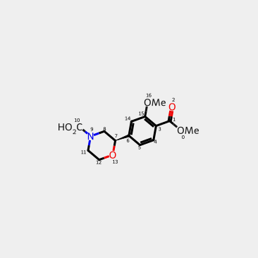 COC(=O)c1ccc([C@@H]2CN(C(=O)O)CCO2)cc1OC